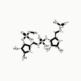 CC(C)OP(=O)(O)O[C@H]1[C@@H](O)[C@H](O)O[C@@H]1COP(=O)(O)O[C@H]1[C@@H](O)[C@H](O)O[C@@H]1CO[PH](=O)O